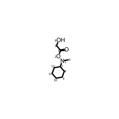 CN(OC(=O)CO)C1CCCCC1